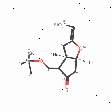 CCOC(=O)/C=C1\C[C@@H]2C(CO[Si](C)(C)C(C)(C)C)C(=O)C[C@@H]2O1